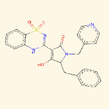 O=C1C(C2=NS(=O)(=O)c3ccccc3N2)=C(O)C(Cc2ccccc2)N1Cc1ccncc1